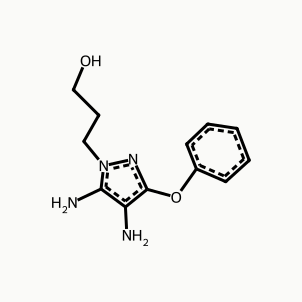 Nc1c(Oc2ccccc2)nn(CCCO)c1N